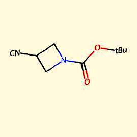 [C-]#[N+]C1CN(C(=O)OC(C)(C)C)C1